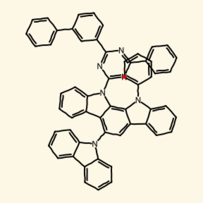 c1ccc(-c2cccc(-c3nc(-c4ccccc4)nc(-n4c5ccccc5c5c(-n6c7ccccc7c7ccccc76)cc6c7ccccc7n(-c7ccccc7)c6c54)n3)c2)cc1